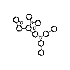 c1ccc(-c2ccc(N(c3ccc(-c4ccccc4)cc3)c3ccc4c(c3)B3c5ccccc5N(c5ccccc5)c5cc(-c6cccc7c6oc6ccccc67)cc-4c53)cc2)cc1